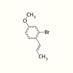 CC=Cc1ccc(OC)cc1Br